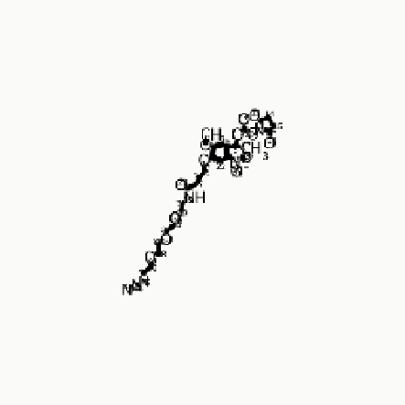 COc1cc(C(C)OC(=O)ON2C(=O)CCC2=O)c([N+](=O)[O-])cc1OCCCC(=O)NCCOCCOCCOCCN=[N+]=[N-]